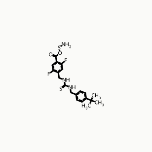 CC(C)(C)c1ccc(CNC(=S)NCc2cc(F)c(C(=O)OSN)cc2F)cc1